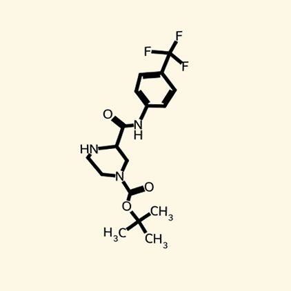 CC(C)(C)OC(=O)N1CCNC(C(=O)Nc2ccc(C(F)(F)F)cc2)C1